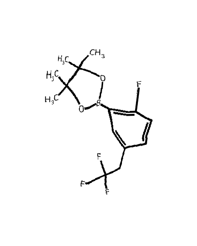 CC1(C)OB(c2cc(CC(F)(F)F)ccc2F)OC1(C)C